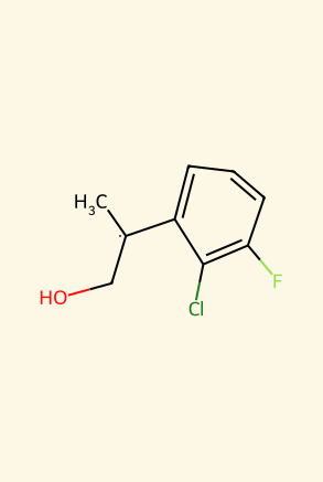 C[C](CO)c1cccc(F)c1Cl